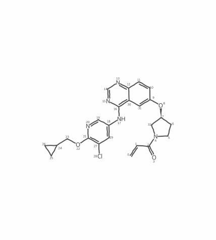 C=CC(=O)N1CC[C@H](Oc2ccc3ncnc(Nc4cnc(OCC5CC5)c(Cl)c4)c3c2)C1